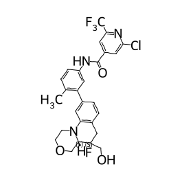 Cc1ccc(NC(=O)c2cc(Cl)nc(C(F)(F)F)c2)cc1-c1ccc2c(c1)N1CCOC[C@H]1[C@](F)(CO)C2